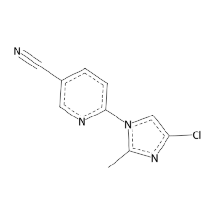 Cc1nc(Cl)cn1-c1ccc(C#N)cn1